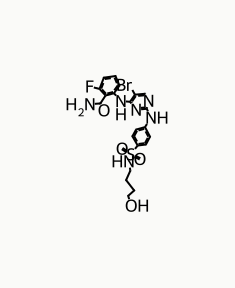 NC(=O)c1c(F)cccc1Nc1nc(Nc2ccc(S(=O)(=O)NCCCCO)cc2)ncc1Br